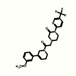 COc1cccc(C2=CCCN(C(=O)CN3CCN(c4ccc(C(F)(F)F)cn4)C(=O)C3)C2)c1